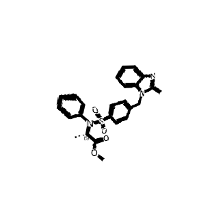 COC(=O)[C@H](C)N(c1ccccc1)S(=O)(=O)c1ccc(Cn2c(C)nc3ccccc32)cc1